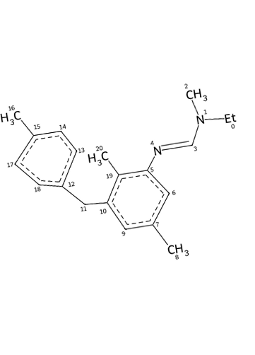 CCN(C)C=Nc1cc(C)cc(Cc2ccc(C)cc2)c1C